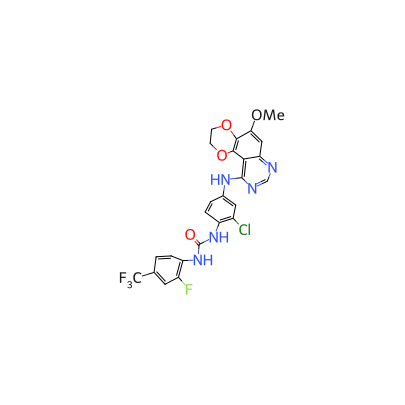 COc1cc2ncnc(Nc3ccc(NC(=O)Nc4ccc(C(F)(F)F)cc4F)c(Cl)c3)c2c2c1OCCO2